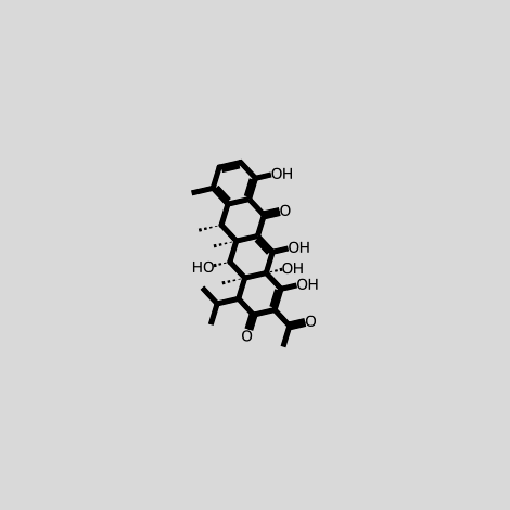 CC(=O)C1=C(O)[C@]2(O)C(O)=C3C(=O)c4c(O)ccc(C)c4[C@@H](C)[C@]3(C)[C@@H](O)[C@]2(C)C(C(C)C)C1=O